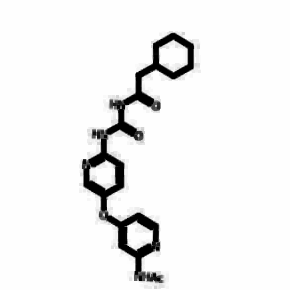 CC(=O)Nc1cc(Oc2ccc(NC(=O)NC(=O)CC3CCCCC3)nc2)ccn1